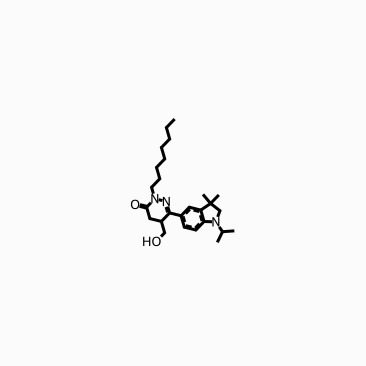 CCCCCCCCN1N=C(c2ccc3c(c2)C(C)(C)CN3C(C)C)C(CO)CC1=O